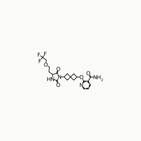 NC(=O)c1cccnc1OC1CC2(C1)CC(N1C(=O)NC(CCOCC(F)(F)F)C1=O)C2